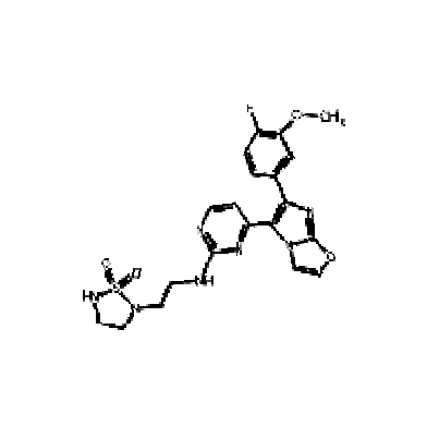 COc1cc(-c2nc3occn3c2-c2ccnc(NCCN3CCNS3(=O)=O)n2)ccc1F